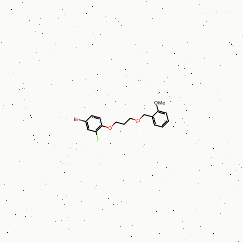 COc1ccccc1COCCCOc1ccc(Br)cc1F